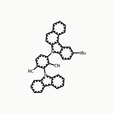 CC(C)(C)c1ccc2c(c1)c1c3ccccc3ccc1n2-c1ccc(C#N)c(-n2c3ccccc3c3ccccc32)c1C#N